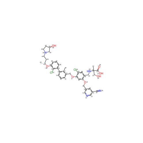 Cc1c(COc2cc(OCc3cncc(C#N)c3)c(CNC(C)(CO)C(=O)O)cc2Cl)cccc1-c1cccc(O[C@H](C)CCN2CC[C@@H](O)C2)c1Cl